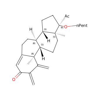 C=C1C(=C)[C@@]2(C)C(=CC1=O)CC[C@@H]1[C@@H]2CC[C@@]2(C)[C@H]1CC[C@]2(OCCCCC)C(C)=O